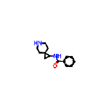 O=C(NC1CC12CCNCC2)c1ccccc1